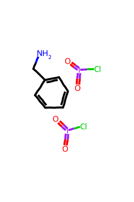 NCc1ccccc1.O=I(=O)Cl.O=I(=O)Cl